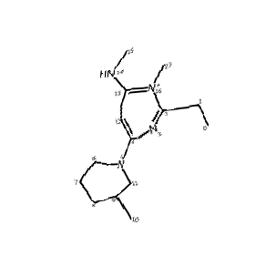 CCc1nc(N2CCCC(C)C2)cc(NC)[n+]1C